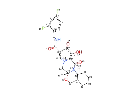 O=C(NCc1ccc(F)cc1F)c1cn2c(c(O)c1=O)C(=O)N1[C@@H](C2)OCC2CCCC[C@@H]21